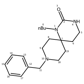 CCCCN1C(=O)NCCC12CCN(Cc1ccccc1)CC2